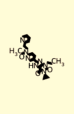 CCCn1c(=O)n(C2CC2)c(=O)c2[nH]c(-c3ccc(N(CCc4ccccn4)C(C)=O)nc3)nc21